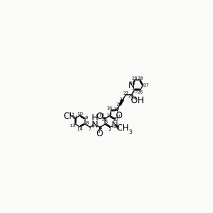 Cn1cc(C(=O)NCc2ccc(Cl)cc2)c(=O)c2cc(C#CCC(O)c3ccccn3)oc21